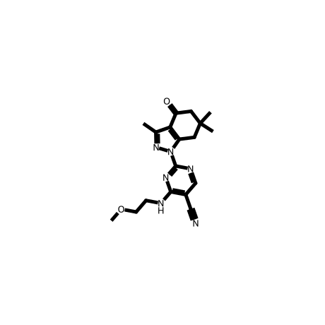 COCCNc1nc(-n2nc(C)c3c2CC(C)(C)CC3=O)ncc1C#N